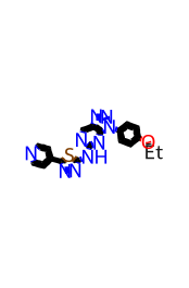 CCOc1ccc(-n2nnc3cnc(Nc4nnc(-c5ccncc5)s4)nc32)cc1